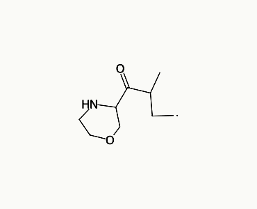 [CH2]CC(C)C(=O)C1COCCN1